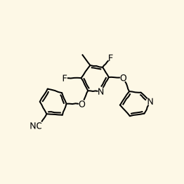 Cc1c(F)c(Oc2cccnc2)nc(Oc2cccc(C#N)c2)c1F